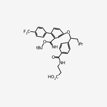 CC(C)CC(Oc1ccc(-c2ccc(C(F)(F)F)cc2)c(C(=N)OC(C)(C)C)c1)c1ccc(C(=O)NCCC(=O)O)cc1